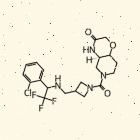 O=C1COC2CCN(C(=O)N3CC(CNC(c4ccccc4Cl)C(F)(F)F)C3)C[C@H]2N1